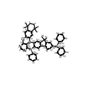 CC1(C)CCC(C)(C)c2cc3c(cc21)Oc1ncnc2c1B3c1cc3c(cc1N2c1ccccc1)-c1ccc(N(c2ccccc2)c2ccccc2)cc1C3(C)C